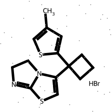 Br.Cc1csc(C2(C3=CSC4=NCCN34)CCC2)c1